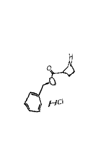 Cl.O=C(OCc1ccccc1)C1CCN1